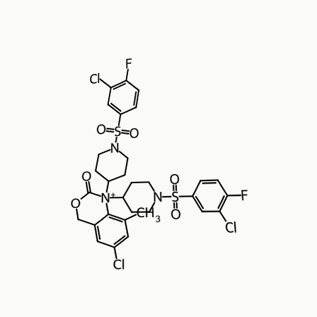 Cc1cc(Cl)cc2c1[N+](C1CCN(S(=O)(=O)c3ccc(F)c(Cl)c3)CC1)(C1CCN(S(=O)(=O)c3ccc(F)c(Cl)c3)CC1)C(=O)OC2